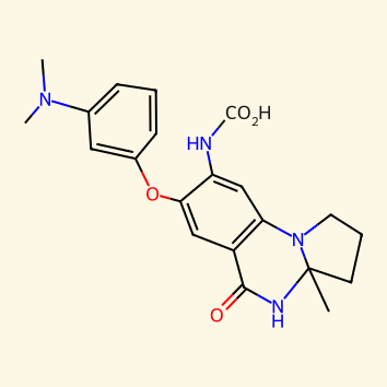 CN(C)c1cccc(Oc2cc3c(cc2NC(=O)O)N2CCCC2(C)NC3=O)c1